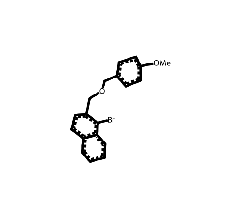 COc1ccc(COCc2ccc3ccccc3c2Br)cc1